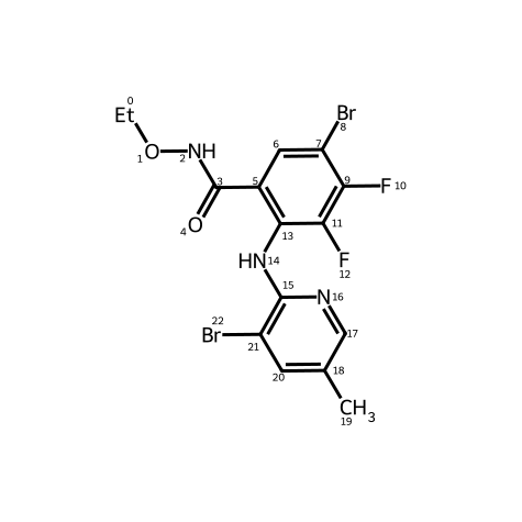 CCONC(=O)c1cc(Br)c(F)c(F)c1Nc1ncc(C)cc1Br